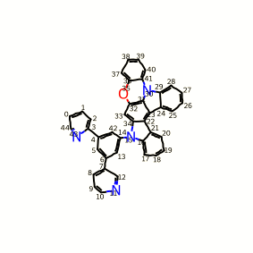 c1ccc(-c2cc(-c3cccnc3)cc(-n3c4ccccc4c4c5c6ccccc6n6c5c(cc43)Oc3ccccc3-6)c2)nc1